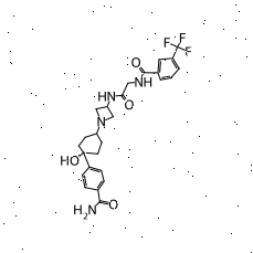 NC(=O)c1ccc(C2(O)CCC(N3CC(NC(=O)CNC(=O)c4cccc(C(F)(F)F)c4)C3)CC2)cc1